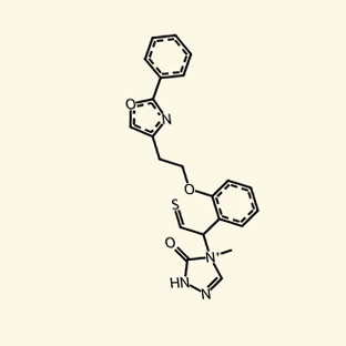 C[N+]1(C(C=S)c2ccccc2OCCc2coc(-c3ccccc3)n2)C=NNC1=O